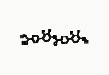 CCCC(O)c1ccc(-c2ccc(OC(=O)c3ccc(-c4ccc(OCC)c(F)c4F)cc3)c(F)c2F)cc1